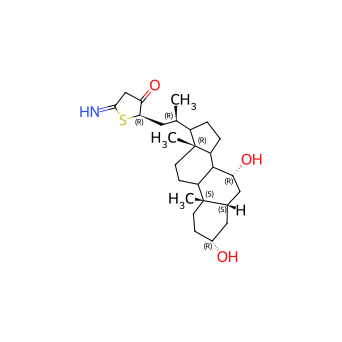 C[C@H](C[C@H]1SC(=N)CC1=O)C1CCC2C3C(CC[C@@]21C)[C@@]1(C)CC[C@@H](O)C[C@H]1C[C@H]3O